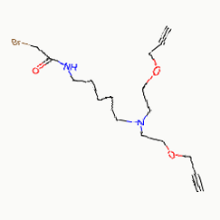 C#CCOCCN(CCCCCNC(=O)CBr)CCOCC#C